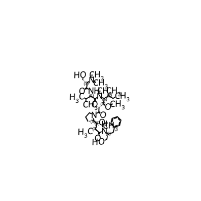 CC[C@H](C)[C@@H]([C@@H](CC(=O)N1CCC[C@H]1[C@H](OC)[C@@H](C)C(=O)N[C@H](CO)Cc1ccccc1)OC)N(C)C(=O)[C@@H](NC(=O)[C@H](CO)N(C)C)C(C)C